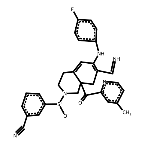 Cc1ccnc(C(=O)C23CC(C=N)=C(Nc4ccc(F)cc4)C=C2CCN([S+]([O-])c2cccc(C#N)c2)C3)c1